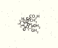 C=C(C)C(=O)O.C=CCOC(=O)c1ccccc1C(=O)OCC=C